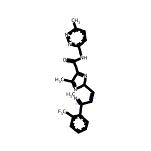 C/N=C(\C=C/C1N=C(C)C(C(=O)Nc2ccc(C)nn2)=N1)c1ccccc1C(F)(F)F